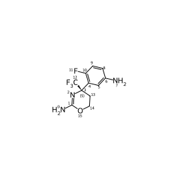 NC1=N[C@@](c2cc(N)ccc2F)(C(F)(F)F)CCO1